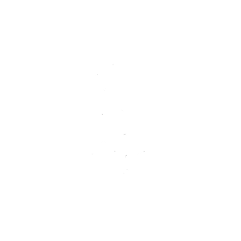 COC1(C(=O)O)CC(OCc2ccccc2)C1